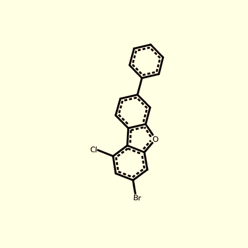 Clc1cc(Br)cc2oc3cc(-c4ccccc4)ccc3c12